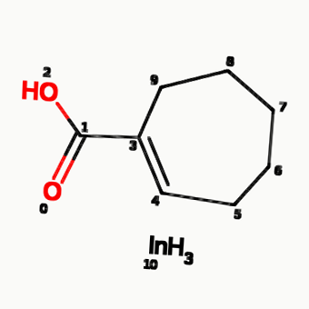 O=C(O)C1=CCCCCC1.[InH3]